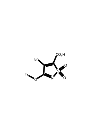 CCOC1=NS(=O)(=O)C(C(=O)O)=C1Br